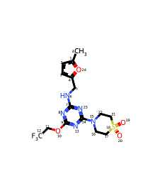 Cc1ccc(CNc2nc(OCC(F)(F)F)nc(N3CCS(=O)(=O)CC3)n2)o1